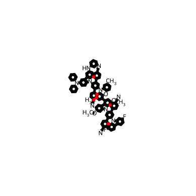 COc1ccc2c3c(-c4cc(C)cc5c4Oc4ccc(C)cc4N5c4cc(-c5ccc(C#N)cc5)c(-n5c6ccc(Nc7ccccc7)cc6c6cc(N(c7ccccc7)c7ccccc7)ccc65)cc4-c4ccc(C#N)cc4)cc(OC)cc3n(-c3cc(-c4ccc(C#N)cc4)c(-n4c5cc(F)ccc5c5ccc(F)cc54)cc3-c3ccc(C#N)cc3)c2c1